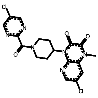 Cn1c(=O)c(=O)n(C2CCN(C(=O)c3ncc(Cl)cn3)CC2)c2ncc(Cl)cc21